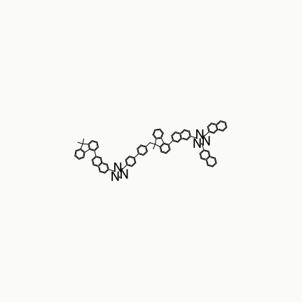 CC1(C)c2ccccc2-c2c(-c3ccc4ccc(-c5ncnc(-c6ccc(-c7ccc(CC8(C)c9ccccc9-c9c(-c%10ccc%11ccc(-c%12nc(-c%13ccc%14ccccc%14c%13)nc(-c%13ccc%14ccccc%14c%13)n%12)cc%11c%10)cccc98)cc7)cc6)n5)cc4c3)cccc21